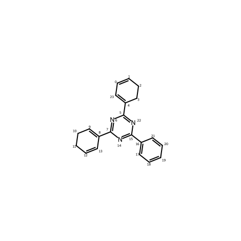 C1=CCCC(c2nc(C3=CCCC=C3)nc(-c3ccccc3)n2)=C1